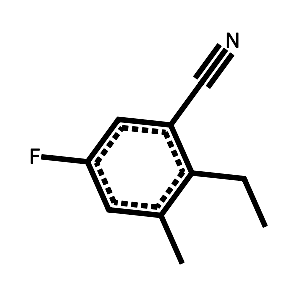 CCc1c(C)cc(F)cc1C#N